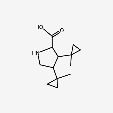 CC1(C2CNC(C(=O)O)C2C2(C)CC2)CC1